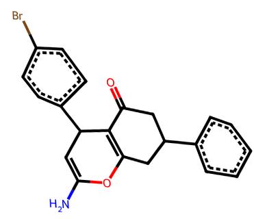 NC1=CC(c2ccc(Br)cc2)C2=C(CC(c3ccccc3)CC2=O)O1